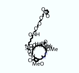 COc1cc2cc(c1Cl)N(C)C(=O)C[C@H](OC(=O)[C@H](C)N(C)C(=O)CCCCC(=O)NCCOCCOCCOCCN1C(=O)C=CC1=O)[C@]1(C)O[C@H]1[C@H](C)[C@@H]1C[C@@](O)(NC(=O)O1)[C@H](OC)/C=C/C=C(\C)C2